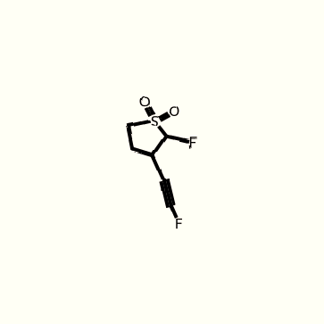 O=S1(=O)CCC(C#CF)C1F